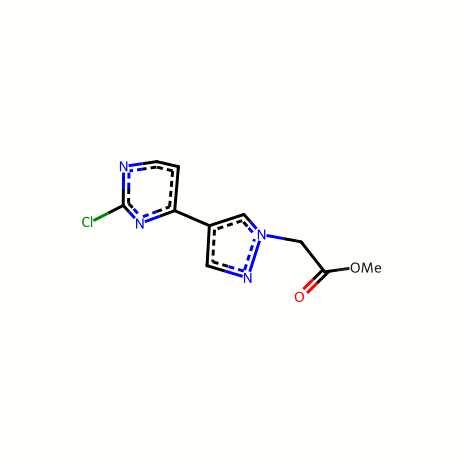 COC(=O)Cn1cc(-c2ccnc(Cl)n2)cn1